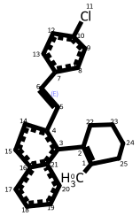 CC1=C(c2c(/C=C/c3ccc(Cl)cc3)ccc3ccccc23)CCCC1